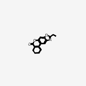 CCc1nc2cc3c4c(c(=O)oc3cc2o1)CCCC4